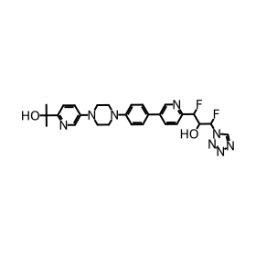 CC(C)(O)c1ccc(N2CCN(c3ccc(-c4ccc(C(F)C(O)C(F)n5cnnn5)nc4)cc3)CC2)cn1